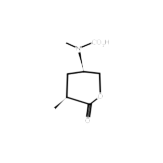 C[C@H]1C[C@@H](N(C)C(=O)O)COC1=O